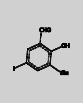 CC(C)(C)c1cc(I)cc(C=O)c1O